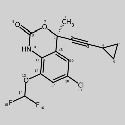 C[C@@]1(C#CC2CC2)OC(=O)Nc2c(OC(F)F)cc(Cl)cc21